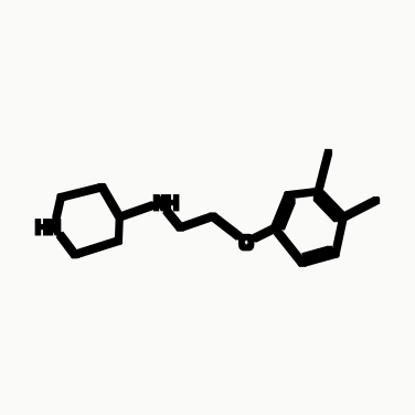 Cc1ccc(OCCNC2CCNCC2)cc1C